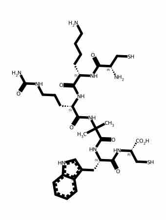 CC(C)(NC(=O)[C@H](CCCNC(N)=O)NC(=O)[C@H](CCCCN)NC(=O)[C@@H](N)CS)C(=O)N[C@@H](Cc1c[nH]c2ccccc12)C(=O)N[C@@H](CS)C(=O)O